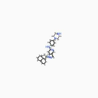 c1cc2c3c(cccc3c1)[C@H](n1ncc3cnc(Nc4ccc(N5CCNCC5)cc4)cc31)C2